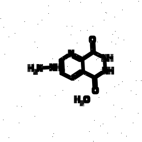 NN.O.O=c1[nH][nH]c(=O)c2ncccc12